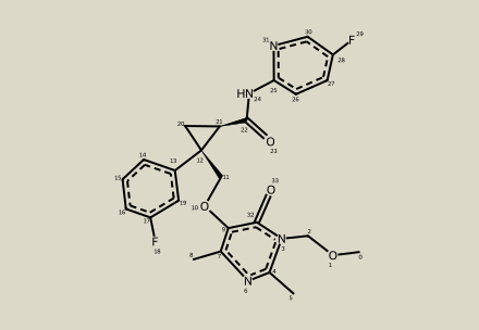 COCn1c(C)nc(C)c(OC[C@@]2(c3cccc(F)c3)C[C@H]2C(=O)Nc2ccc(F)cn2)c1=O